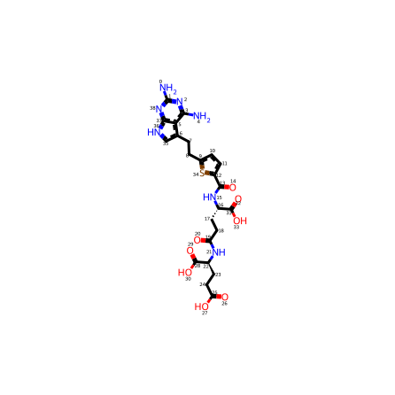 Nc1nc(N)c2c(CCc3ccc(C(=O)N[C@@H](CCC(=O)N[C@@H](CCC(=O)O)C(=O)O)C(=O)O)s3)c[nH]c2n1